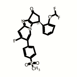 CS(=O)(=O)c1ccc(-c2cn3c4c(nc3cc2F)C(=O)C[C@H]4c2ccccc2OC(F)F)cc1